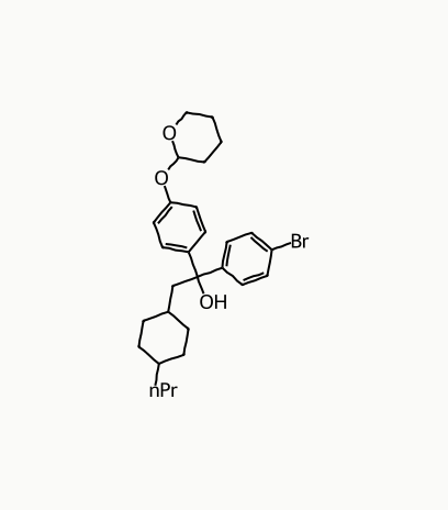 CCCC1CCC(CC(O)(c2ccc(Br)cc2)c2ccc(OC3CCCCO3)cc2)CC1